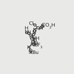 CN(CCCNc1ccc(S(=O)(=O)NC(=O)c2ccc(N3CCN(CC4=C(c5ccc(Cl)cc5)CCC(C)(CN5CCN(C(=O)O)CC5)C4)CC3)cc2Oc2cnc3[nH]ccc3c2)cc1S(=O)(=O)C(F)(F)F)CCO[Si](C)(C)C(C)(C)C